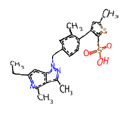 CCc1cc2c(c(C)n1)c(C)nn2Cc1ccc(-c2cc(C)sc2S(=O)(=O)O)c(C)c1